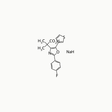 CC(C)(C(=O)O)c1nc(-c2ccc(F)cc2)oc1-c1ccsc1.[NaH]